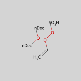 C=COOS(=O)(=O)O.CCCCCCCCCCOCCCCCCCCCC